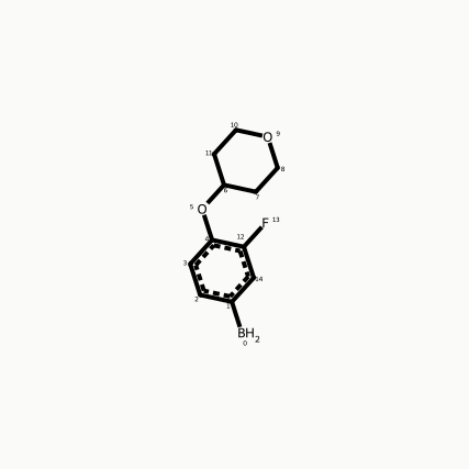 Bc1ccc(OC2CCOCC2)c(F)c1